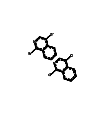 Brc1cnc(Br)c2ccccc12.Clc1cnc(Cl)c2ccccc12